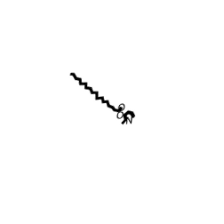 CCCCCCCCCCCCCCCCCC(=O)Oc1cccnc1C